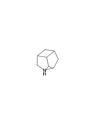 CC(C)C1C2CCNCC1C2